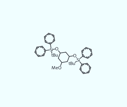 COC1CC(O[Si](c2ccccc2)(c2ccccc2)C(C)(C)C)CC(O[Si](c2ccccc2)(c2ccccc2)C(C)(C)C)C1